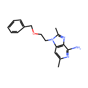 Cc1cc2c(nc(C)n2CCOCc2ccccc2)c(N)n1